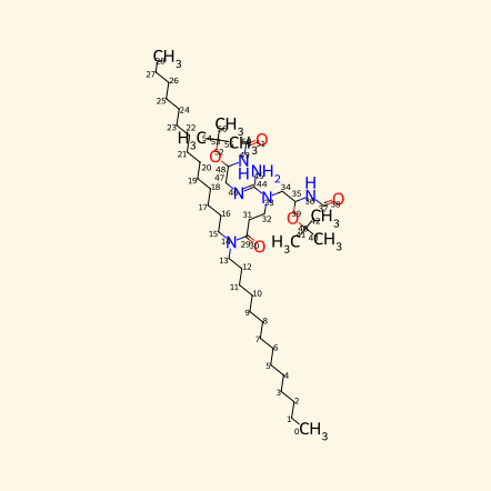 CCCCCCCCCCCCCCN(CCCCCCCCCCCCCC)C(=O)CCN(CC(NC=O)OC(C)(C)C)C(N)=NCC(NC=O)OC(C)(C)C